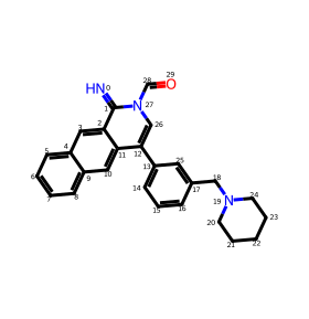 N=c1c2cc3ccccc3cc2c(-c2cccc(CN3CCCCC3)c2)cn1C=O